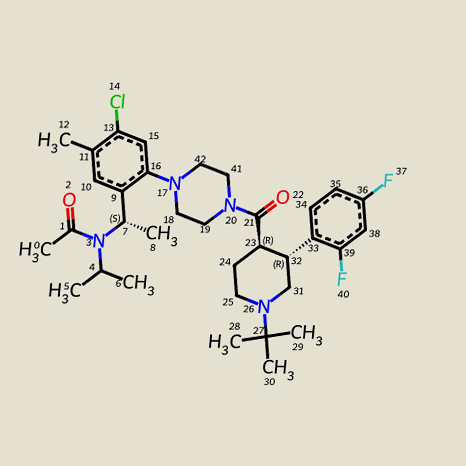 CC(=O)N(C(C)C)[C@@H](C)c1cc(C)c(Cl)cc1N1CCN(C(=O)[C@@H]2CCN(C(C)(C)C)C[C@H]2c2ccc(F)cc2F)CC1